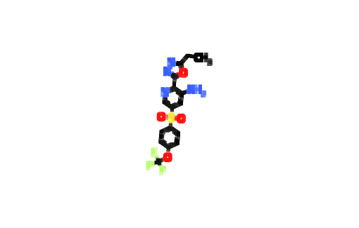 CCc1nnc(-c2ncc(S(=O)(=O)c3ccc(OC(F)(F)F)cc3)cc2N)o1